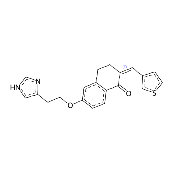 O=C1/C(=C\c2ccsc2)CCc2cc(OCCc3c[nH]cn3)ccc21